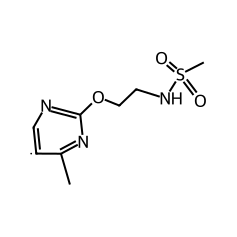 Cc1[c]cnc(OCCNS(C)(=O)=O)n1